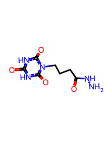 NNC(=O)CCCn1c(=O)[nH]c(=O)[nH]c1=O